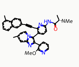 CN[C@@H](C)C(=O)Nc1ccc(-c2c(-c3cccnc3OC)nc3cc(C)ccn23)c(C#Cc2ccc3c(C)cccc3c2)n1